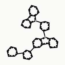 c1ccc(-c2cccc(-c3ccc4c(c3)c3ccccc3n4-c3cccc(-n4c5ccccc5c5ccccc54)c3)c2)cc1